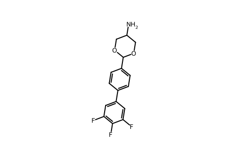 NC1COC(c2ccc(-c3cc(F)c(F)c(F)c3)cc2)OC1